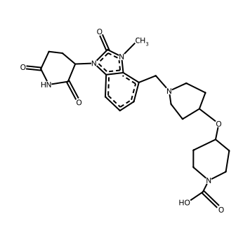 Cn1c(=O)n(C2CCC(=O)NC2=O)c2cccc(CN3CCC(OC4CCN(C(=O)O)CC4)CC3)c21